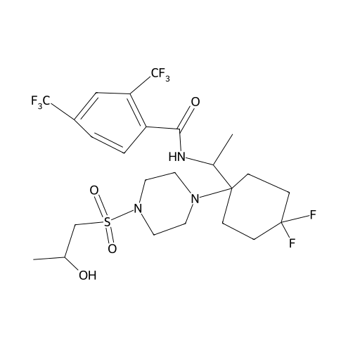 CC(O)CS(=O)(=O)N1CCN(C2(C(C)NC(=O)c3ccc(C(F)(F)F)cc3C(F)(F)F)CCC(F)(F)CC2)CC1